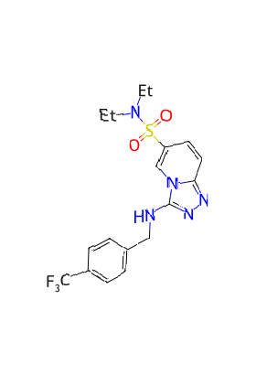 CCN(CC)S(=O)(=O)c1ccc2nnc(NCc3ccc(C(F)(F)F)cc3)n2c1